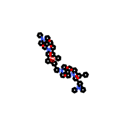 c1ccc(-c2cccc(-c3ccccc3N(c3ccc(-c4cccc5c4oc4ccc(-c6cccc(N7c8ccccc8C8(c9ccccc9-c9c(N(c%10ccc(-c%11ccc%12c%13ccccc%13n(-c%13ccccc%13)c%12c%11)cc%10)c%10ccccc%10-c%10cccc(-c%11ccccc%11)c%10)cccc98)c8ccccc87)c6)cc45)cc3)c3cccc4c3-c3ccccc3C43c4ccccc4N(c4ccccc4)c4ccccc43)c2)cc1